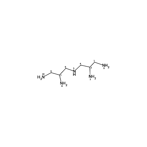 NCC(N)CNCC(N)CN